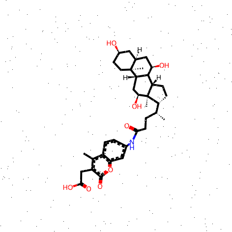 Cc1c(CC(=O)O)c(=O)oc2cc(NC(=O)CC[C@@H](C)[C@H]3CC[C@H]4C5[C@H](O)C[C@@H]6C[C@H](O)CC[C@]6(C)[C@H]5C[C@H](O)[C@]34C)ccc12